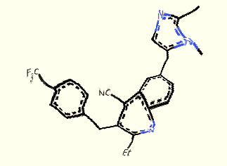 CCc1nc2ccc(-c3cnc(C)n3C)cc2c(C#N)c1Cc1ccc(C(F)(F)F)cc1